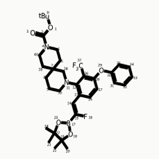 CC(C)(C)OC(=O)N1CCC2(CCCN(c3c(/C=C(\F)B4OC(C)(C)C(C)(C)O4)ccc(Oc4ccccc4)c3C(F)(F)F)C2)CC1